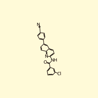 N#Cc1ccc(-c2ccc3nc(NC(=O)c4cccc(Cl)c4)ccc3c2)cc1